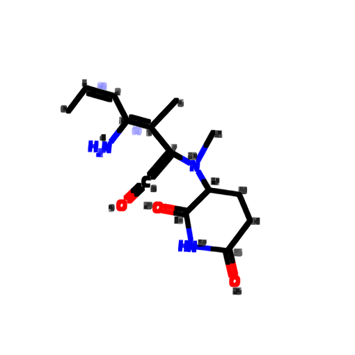 C/C=C\C(N)=C(/C)C(=C=O)N(C)C1CCC(=O)NC1=O